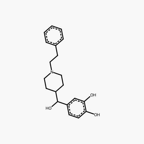 Oc1ccc(C(O)C2CCN(CCc3ccccc3)CC2)cc1O